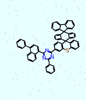 c1ccc(-c2nc(-c3ccc4c(c3)Sc3ccccc3C43c4ccccc4C4(c5ccccc5-c5ccccc54)c4ccccc43)nc(-c3ccc(-c4ccccc4)c4ccccc34)n2)cc1